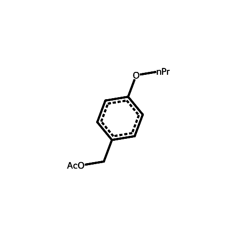 CCCOc1ccc(COC(C)=O)cc1